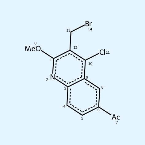 COc1nc2ccc(C(C)=O)cc2c(Cl)c1CBr